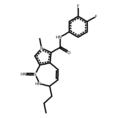 CCCC1C=Cc2c(cn(C)c2C(=O)Nc2ccc(F)c(F)c2)S(=N)N1